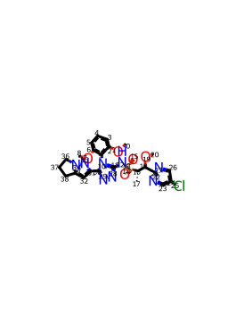 COc1cccc(OC)c1-n1c(NS(=O)(=O)[C@@H](C)C(OC)c2ncc(Cl)cn2)nnc1-c1cc2n(n1)CCC2